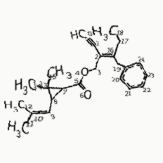 C#CC(COC(=O)C1C(C=C(C)C)C1(C)C)=C(CC)c1ccccc1